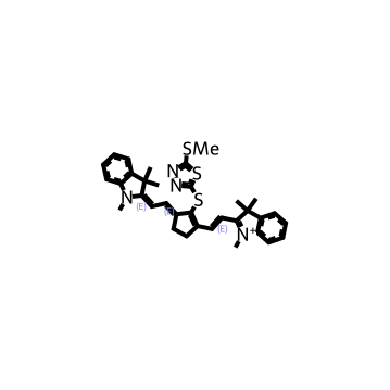 CSc1nnc(SC2=C(/C=C/C3=[N+](C)c4ccccc4C3(C)C)CC/C2=C\C=C2\N(C)c3ccccc3C2(C)C)s1